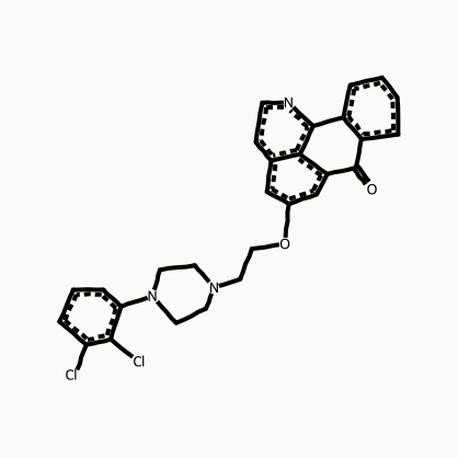 O=C1c2ccccc2-c2nccc3cc(OCCN4CCN(c5cccc(Cl)c5Cl)CC4)cc1c23